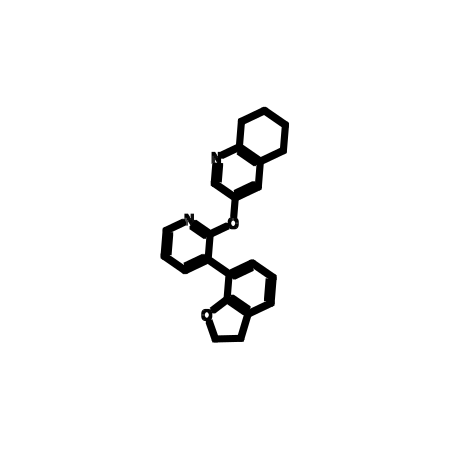 c1cnc(Oc2cnc3c(c2)CCCC3)c(-c2cccc3c2OCC3)c1